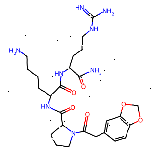 N=C(N)NCCCC(NC(=O)C(CCCCN)NC(=O)C1CCCN1C(=O)Cc1ccc2c(c1)OCO2)C(N)=O